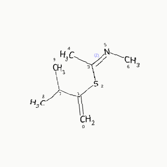 C=C(S/C(C)=N\C)C(C)C